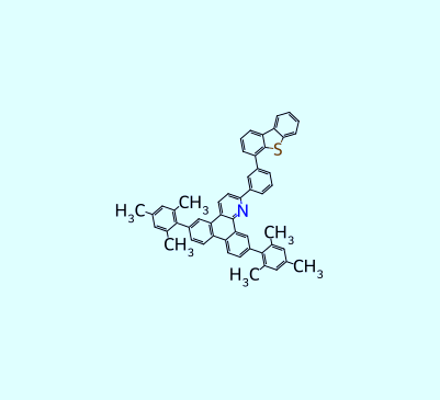 Cc1cc(C)c(-c2ccc3c(c2)c2ccc(-c4cccc(-c5cccc6c5sc5ccccc56)c4)nc2c2cc(-c4c(C)cc(C)cc4C)ccc32)c(C)c1